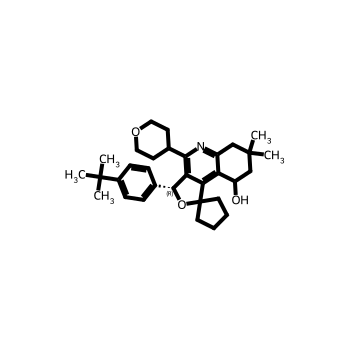 CC1(C)Cc2nc(C3CCOCC3)c3c(c2C(O)C1)C1(CCCC1)O[C@@H]3c1ccc(C(C)(C)C)cc1